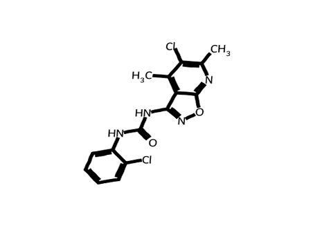 Cc1nc2onc(NC(=O)Nc3ccccc3Cl)c2c(C)c1Cl